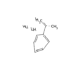 C=C(C)c1ccccc1.[LiH].[LiH]